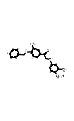 CC(C)(C)c1cc(C(=O)COc2ccc(C(=O)O)c(O)c2)ccc1OCc1ccccc1